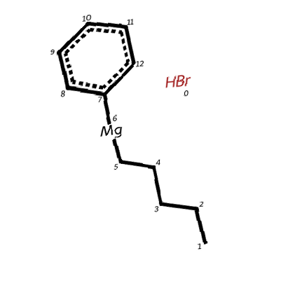 Br.CCCC[CH2][Mg][c]1ccccc1